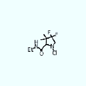 CCNC(=O)C1N(Cl)CC(F)(F)C1(C)C